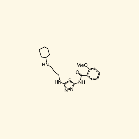 COc1ccccc1C(=O)Nc1nnc(NCCCNC2CCCCC2)s1